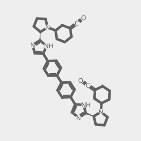 O=C=C1[CH]CCC(N2CCC[C@H]2c2ncc(-c3ccc(-c4ccc(-c5cnc([C@@H]6CCCN6C6CC[CH]C(=C=O)C6)[nH]5)cc4)cc3)[nH]2)C1